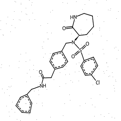 O=C(Cc1ccc(CN([C@@H]2CCCCNC2=O)S(=O)(=O)c2ccc(Cl)cc2)cc1)NCc1ccccc1